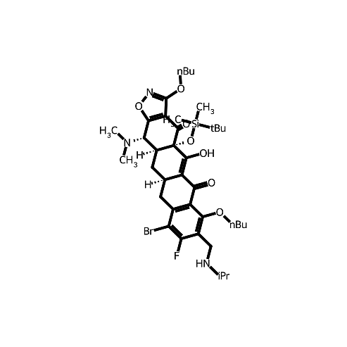 CCCCOc1noc2c1C(=O)[C@@]1(O[Si](C)(C)C(C)(C)C)C(O)=C3C(=O)c4c(c(Br)c(F)c(CNC(C)C)c4OCCCC)C[C@H]3C[C@H]1[C@@H]2N(C)C